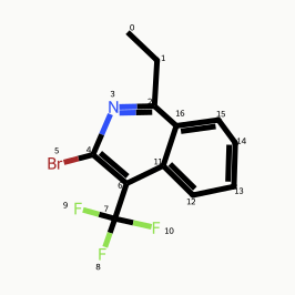 CCc1nc(Br)c(C(F)(F)F)c2ccccc12